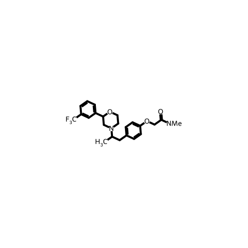 CNC(=O)COc1ccc(CC(C)N2CCOC(c3cccc(C(F)(F)F)c3)C2)cc1